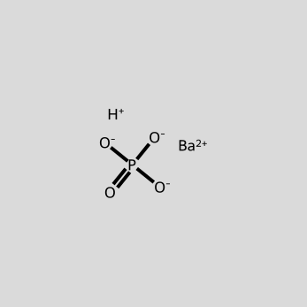 O=P([O-])([O-])[O-].[Ba+2].[H+]